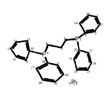 [Rh].c1ccc(P(CCCP(c2ccccc2)c2ccccc2)c2ccccc2)cc1